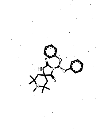 CN1C(C)(C)CC2(CC1(C)C)NC(=S)N(P(Oc1ccccc1)Oc1ccccc1)C2=S